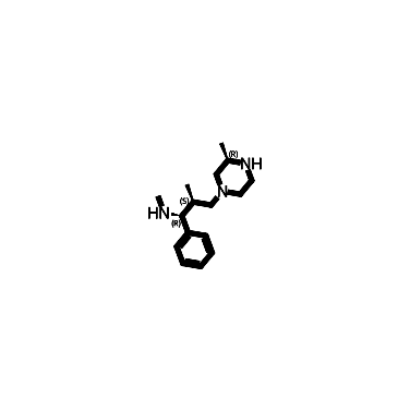 CN[C@@H](c1ccccc1)[C@@H](C)CN1CCN[C@H](C)C1